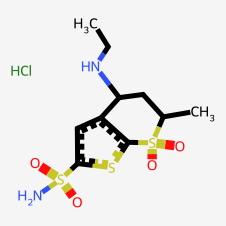 CCNC1CC(C)S(=O)(=O)c2sc(S(N)(=O)=O)cc21.Cl